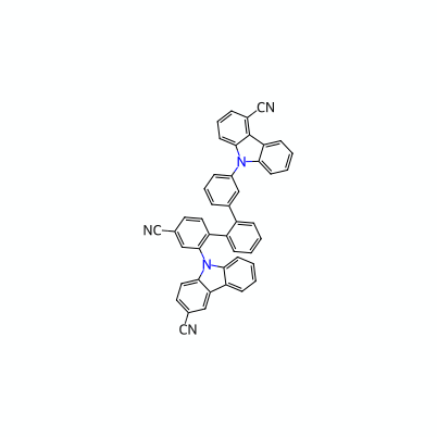 N#Cc1ccc(-c2ccccc2-c2cccc(-n3c4ccccc4c4c(C#N)cccc43)c2)c(-n2c3ccccc3c3cc(C#N)ccc32)c1